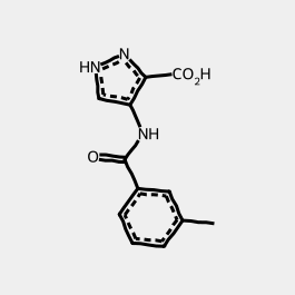 Cc1cccc(C(=O)Nc2c[nH]nc2C(=O)O)c1